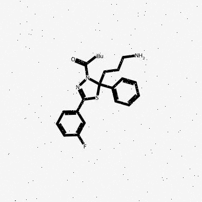 CCC(C)C(=O)N1N=C(c2cccc(F)c2)SC1(CCCN)c1ccccc1